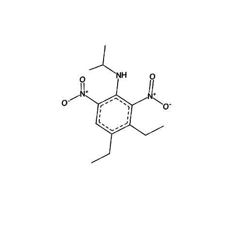 CCc1cc([N+](=O)[O-])c(NC(C)C)c([N+](=O)[O-])c1CC